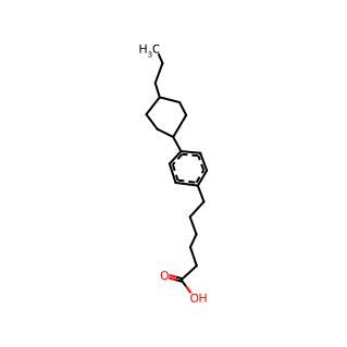 CCCC1CCC(c2ccc(CCCCCC(=O)O)cc2)CC1